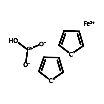 [Fe+2].[O-][I+2]([O-])O.c1cc[cH-]c1.c1cc[cH-]c1